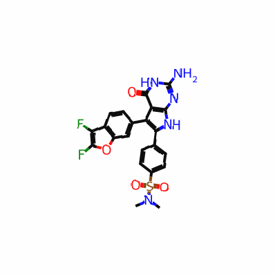 CN(C)S(=O)(=O)c1ccc(-c2[nH]c3nc(N)[nH]c(=O)c3c2-c2ccc3c(F)c(F)oc3c2)cc1